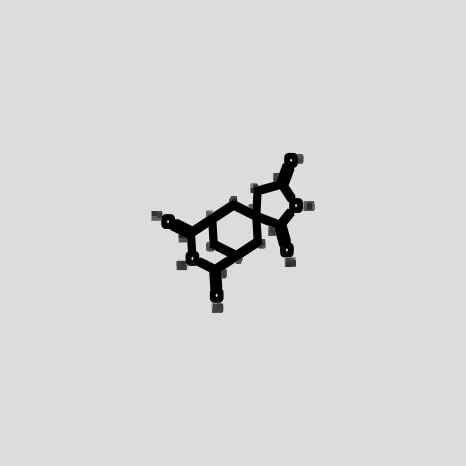 O=C1CC2(CC3CC(C2)C(=O)OC3=O)C(=O)O1